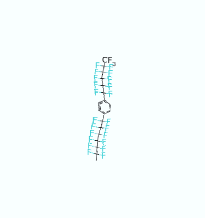 CC(F)(F)C(F)(F)C(F)(F)C(F)(F)C(F)(F)C(F)(F)c1ccc(C(F)(F)C(F)(F)C(F)(F)C(F)(F)C(F)(F)C(F)(F)F)cc1